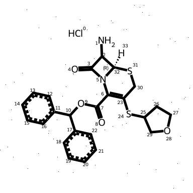 Cl.NC1C(=O)N2C(C(=O)OC(c3ccccc3)c3ccccc3)=C(SC3CCOC3)CS[C@H]12